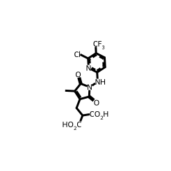 CC1=C(CC(C(=O)O)C(=O)O)C(=O)N(Nc2ccc(C(F)(F)F)c(Cl)n2)C1=O